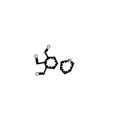 O=Cc1cccc(C=O)c1C=O.c1ccncc1